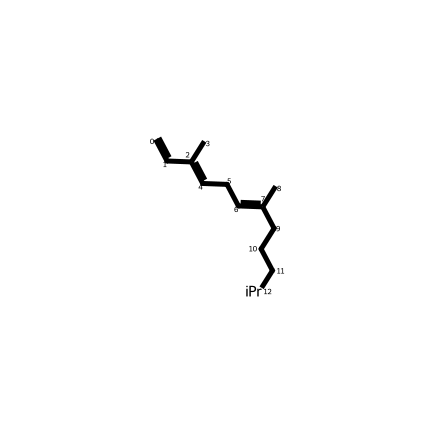 C=C/C(C)=C/C/C=C(\C)CCCC(C)C